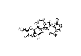 Cc1cc2c(cc1NC(C)C(N)=O)OCCn1cc(N3C(=O)OC[C@H]3C(F)F)nc1-2